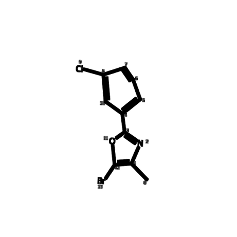 Cc1nc(-c2cccc(Cl)c2)oc1Br